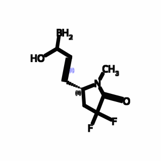 BC(O)/C=C/[C@H]1CC(F)(F)C(=O)N1C